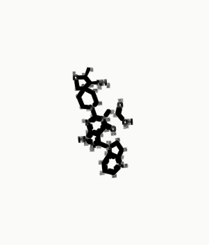 C[C@@H]1OCC2(CCN(c3nc4[nH]nc(N5CCc6ncccc65)c4c(=O)n3C)CC2)[C@@H]1N.O=CO